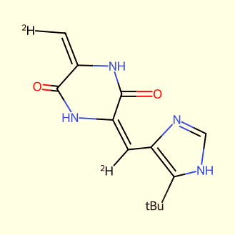 [2H]/C=c1/[nH]c(=O)c(=C([2H])c2nc[nH]c2C(C)(C)C)[nH]c1=O